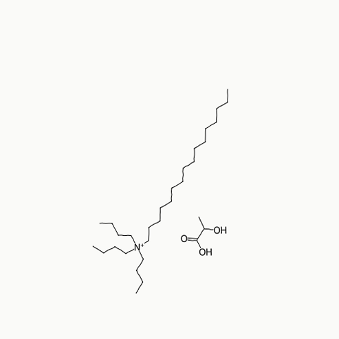 CC(O)C(=O)O.CCCCCCCCCCCCCCCC[N+](CCCC)(CCCC)CCCC